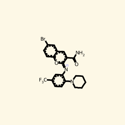 NC(=O)c1cc2cc(Br)ccc2o/c1=N\c1cc(C(F)(F)F)ccc1N1CCCCC1